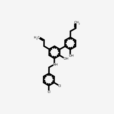 C=CCc1ccc(O)c(-c2cc(CC=C)cc(NCc3ccc(Cl)c(Cl)c3)c2O)c1